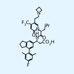 Cc1cc(F)cc(C)c1-c1cc([C@H](CC(=O)O)NC(=O)[C@H](CC(C)C)n2cc(CCN3CCC3)c(C(F)(F)F)cc2=O)cc2c1CCC2